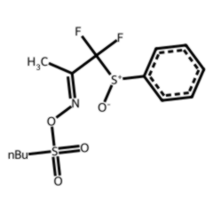 CCCCS(=O)(=O)ON=C(C)C(F)(F)[S+]([O-])c1ccccc1